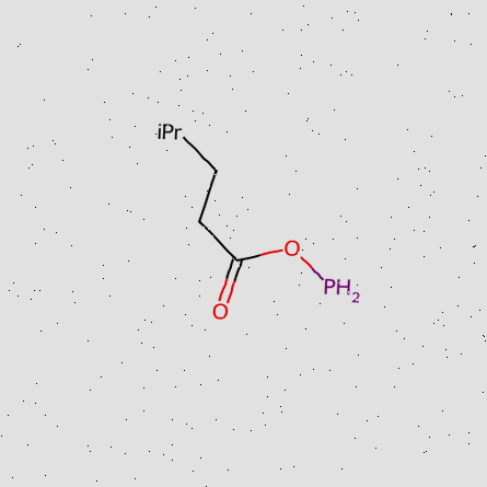 CC(C)CCC(=O)OP